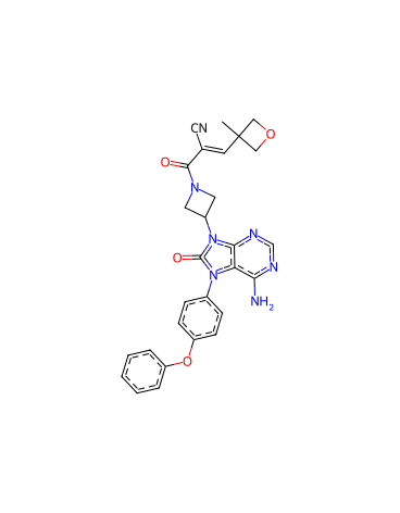 CC1(C=C(C#N)C(=O)N2CC(n3c(=O)n(-c4ccc(Oc5ccccc5)cc4)c4c(N)ncnc43)C2)COC1